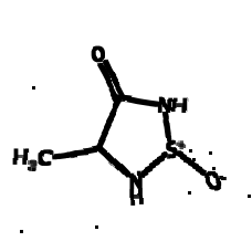 CC1N[S+]([O-])NC1=O